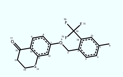 Cc1ccc(COc2ccc3c(c2)SCCC3=O)c(C(F)(F)F)c1